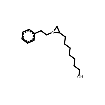 OCCCCCCCC1CN1CCc1ccccc1